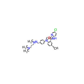 C#Cc1ccc(N(C=O)c2ccc(C=NN(C)CCCN(C)C)cc2)c(C(=O)Nc2ccc(Cl)cn2)c1